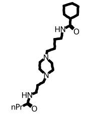 CCCC(=O)NCCCN1CCN(CCCCNC(=O)C2CCCCC2)CC1